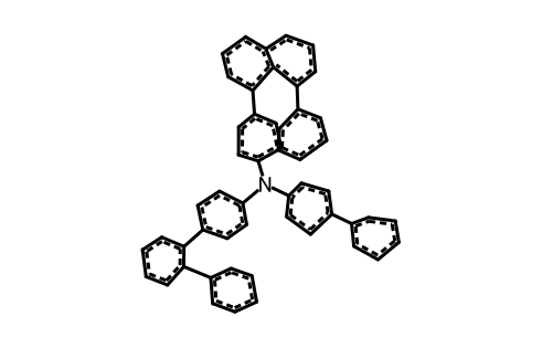 c1ccc(-c2ccc(N(c3ccc(-c4ccccc4-c4ccccc4)cc3)c3ccc(-c4cccc5cccc(-c6ccccc6)c45)cc3)cc2)cc1